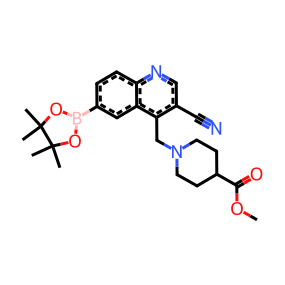 COC(=O)C1CCN(Cc2c(C#N)cnc3ccc(B4OC(C)(C)C(C)(C)O4)cc23)CC1